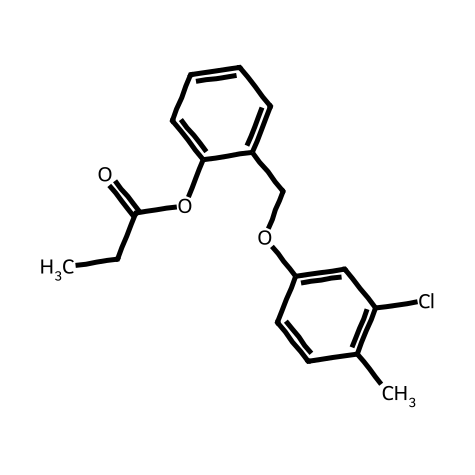 CCC(=O)Oc1ccccc1COc1ccc(C)c(Cl)c1